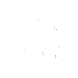 Cn1c(-c2cnc(C(N)=O)c(-c3c(-c4cncc(N)c4)n(C)c4ccccc34)c2)cc2ccccc21